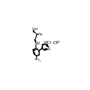 Cl.Cl.Nc1ccc(NCC(O)CO)c(-c2ccsc2)c1